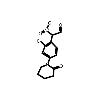 O=CC(c1ccc(N2CCCCC2=O)cc1Cl)[N+](=O)[O-]